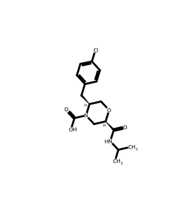 CC(C)NC(=O)[C@H]1CN(C(=O)O)[C@@H](Cc2ccc(Cl)cc2)CO1